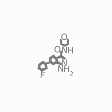 Nc1ncc(C(=O)NC2CCOCC2)c2ccc(-c3cccc(F)c3)cc12